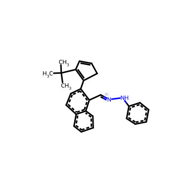 CC(C)(C)C1=C(c2ccc3ccccc3c2/C=N/Nc2ccccc2)CC=C1